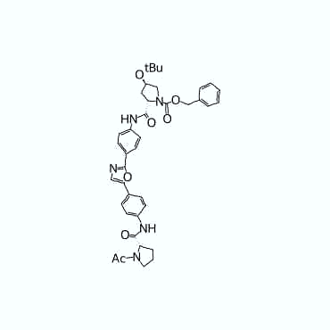 CC(=O)N1CCC[C@H]1C(=O)Nc1ccc(-c2cnc(-c3ccc(NC(=O)[C@@H]4C[C@@H](OC(C)(C)C)CN4C(=O)OCc4ccccc4)cc3)o2)cc1